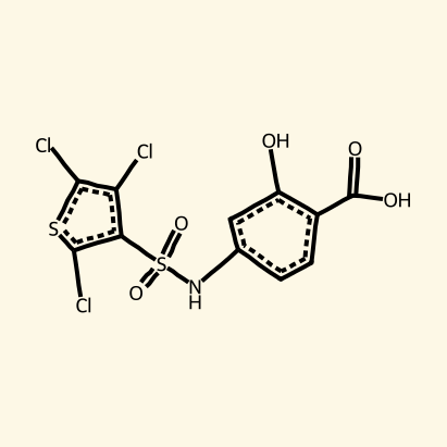 O=C(O)c1ccc(NS(=O)(=O)c2c(Cl)sc(Cl)c2Cl)cc1O